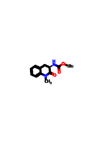 CN1C(=O)[C@@H](NC(=O)OC(C)(C)C)Cc2ccccc21